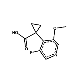 COc1cncc(F)c1C1(C(=O)O)CC1